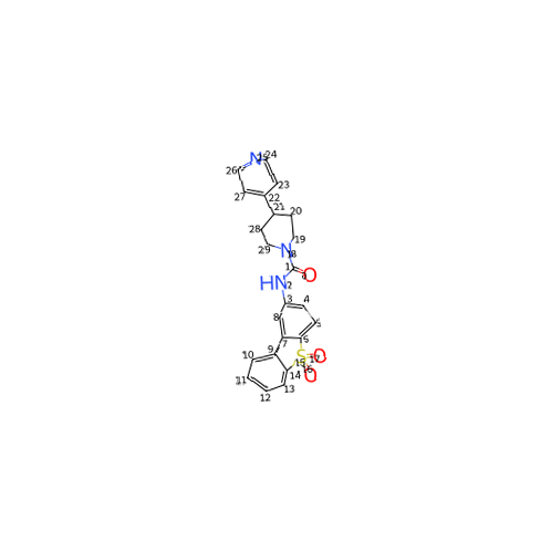 O=C(Nc1ccc2c(c1)-c1ccccc1S2(=O)=O)N1CCC(c2ccncc2)CC1